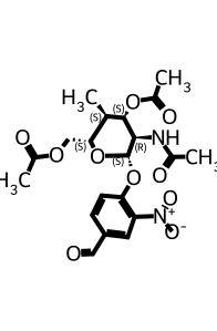 CC(=O)N[C@H]1[C@H](Oc2ccc(C=O)cc2[N+](=O)[O-])O[C@H](COC(C)=O)[C@@H](C)[C@@H]1OC(C)=O